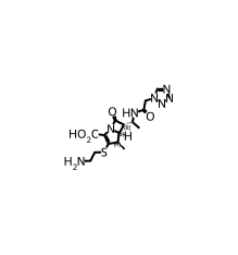 CC(NC(=O)Cn1cnnn1)[C@H]1C(=O)N2C(C(=O)O)=C(SCCN)[C@H](C)[C@H]12